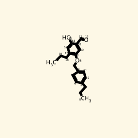 CCCc1ccc(COc2cc(C=O)c(O)cc2CCC)cc1